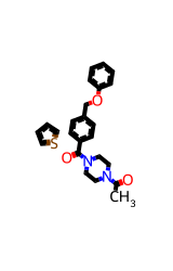 CC(=O)N1CCN(C(=O)c2ccc(COc3ccccc3)cc2)CC1.c1ccsc1